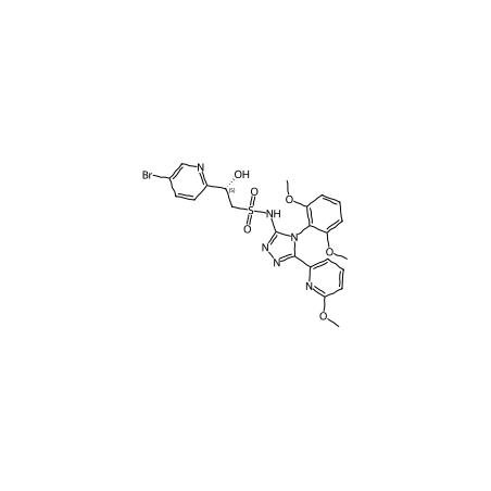 COc1cccc(-c2nnc(NS(=O)(=O)C[C@@H](O)c3ccc(Br)cn3)n2-c2c(OC)cccc2OC)n1